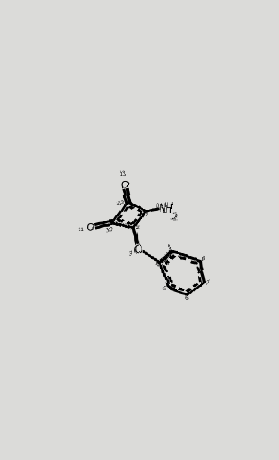 Nc1c(Oc2ccccc2)c(=O)c1=O